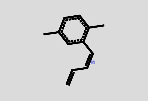 C=C/C=C\c1cc(C)ccc1C